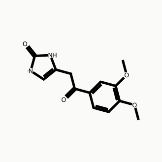 COc1ccc(C(=O)CC2=C[N]C(=O)N2)cc1OC